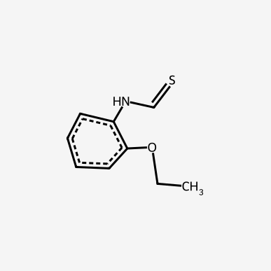 CCOc1ccccc1NC=S